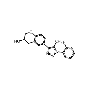 Cc1c(-c2ccc3c(c2)CC(O)CO3)nnn1-c1cccnc1F